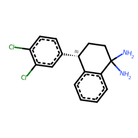 NC1(N)CC[C@@H](c2ccc(Cl)c(Cl)c2)c2ccccc21